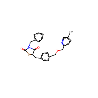 CCc1ccc(COCc2ccc(CC3SC(=O)N(Cc4ccccc4)C3=O)cc2)nc1